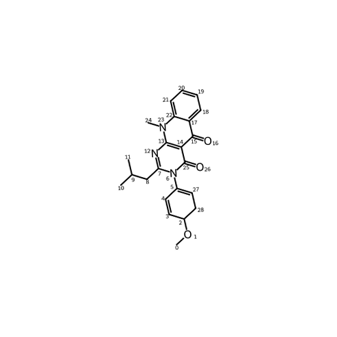 COC1C=CC(n2c(CC(C)C)nc3c(c(=O)c4ccccc4n3C)c2=O)=CC1